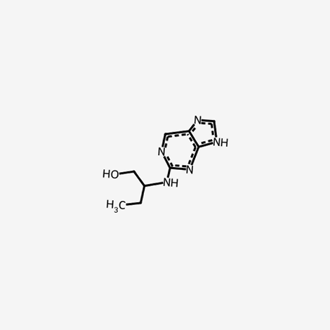 CCC(CO)Nc1ncc2nc[nH]c2n1